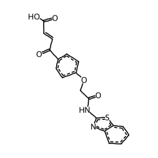 O=C(O)C=CC(=O)c1ccc(OCC(=O)Nc2nc3ccccc3s2)cc1